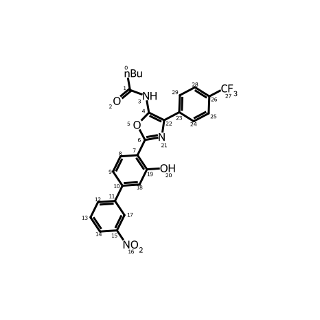 CCCCC(=O)Nc1oc(-c2ccc(-c3cccc([N+](=O)[O-])c3)cc2O)nc1-c1ccc(C(F)(F)F)cc1